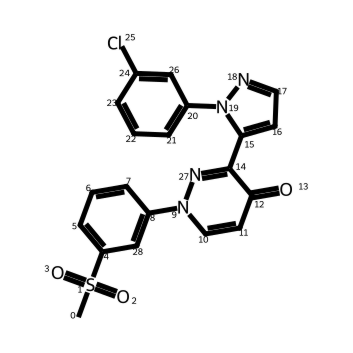 CS(=O)(=O)c1cccc(-n2ccc(=O)c(-c3ccnn3-c3cccc(Cl)c3)n2)c1